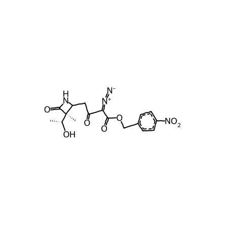 C[C@@H](O)[C@@]1(C)C(=O)NC1CC(=O)C(=[N+]=[N-])C(=O)OCc1ccc([N+](=O)[O-])cc1